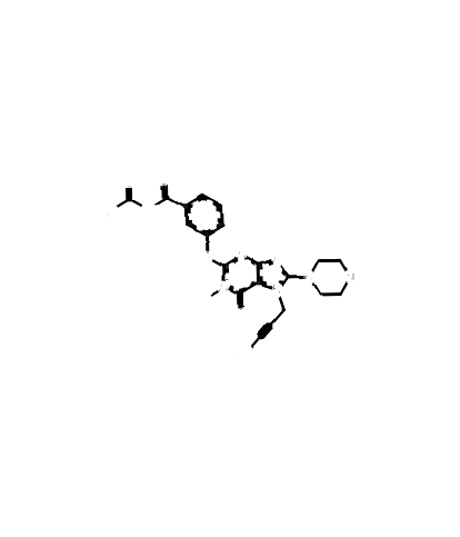 CC#CCn1c(N2CCNCC2)nc2nc(Oc3cccc(C(=O)OC(=O)C(F)(F)F)c3)n(C)c(=O)c21